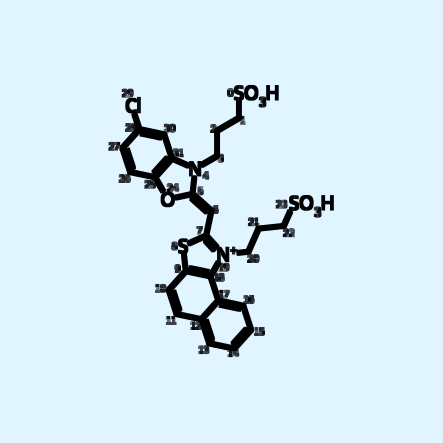 O=S(=O)(O)CCCN1C(=Cc2sc3ccc4ccccc4c3[n+]2CCCS(=O)(=O)O)Oc2ccc(Cl)cc21